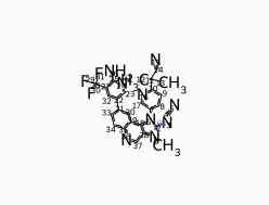 Cn1/c(=N/C#N)n(-c2ccc(C(C)(C)C#N)nc2)c2c3cc(-c4cnc(N)c(C(F)(F)F)c4)ccc3ncc21